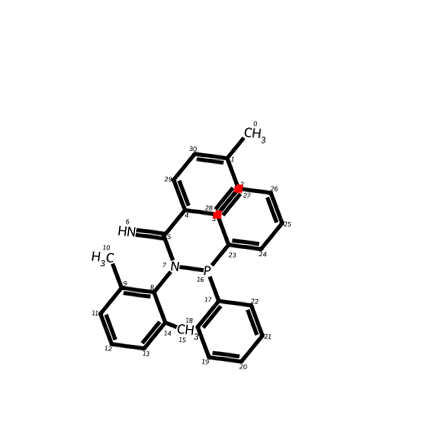 Cc1ccc(C(=N)N(c2c(C)cccc2C)P(c2ccccc2)c2ccccc2)cc1